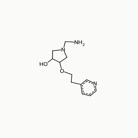 NCN1CC(O)C(OCCc2cccnc2)C1